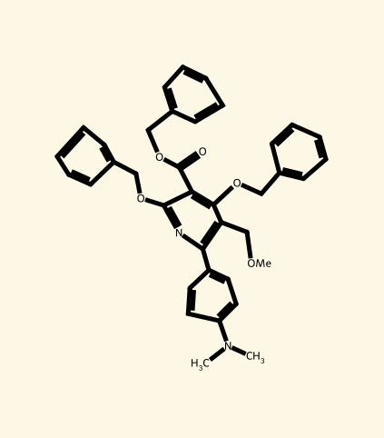 COCc1c(-c2ccc(N(C)C)cc2)nc(OCc2ccccc2)c(C(=O)OCc2ccccc2)c1OCc1ccccc1